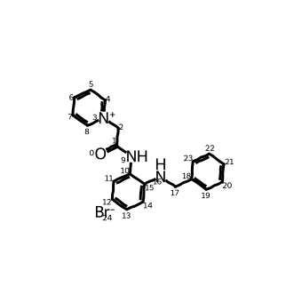 O=C(C[n+]1ccccc1)Nc1ccccc1NCc1ccccc1.[Br-]